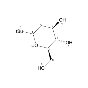 CC(C)(C)C1C[C@@H](O)[C@H](O)[C@@H](CO)O1